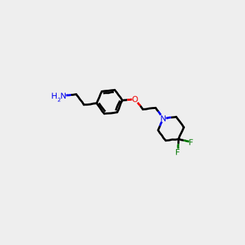 NCCc1ccc(OCCN2CCC(F)(F)CC2)cc1